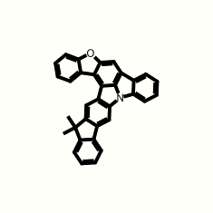 CC1(C)c2ccccc2-c2cc3c(cc21)c1c2c(cc4c5ccccc5n3c41)oc1ccccc12